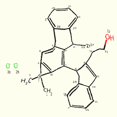 C[Si]1(C)c2cc3c(c(C4C(CCO)=Cc5ccccc54)c21)[CH]([Zr+2])c1ccccc1-3.[Cl-].[Cl-]